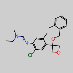 CCN(C)C=Nc1cc(C)c(C2(OCc3ccccc3C)COC2)cc1Cl